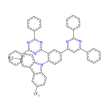 FC(F)(F)c1ccc2c(c1)c1cc(C(F)(F)F)ccc1n2-c1ccc(-c2cc(-c3ccccc3)nc(-c3ccccc3)n2)cc1-c1nc(-c2ccccc2)nc(-c2ccccc2)n1